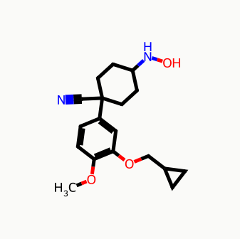 COc1ccc(C2(C#N)CCC(NO)CC2)cc1OCC1CC1